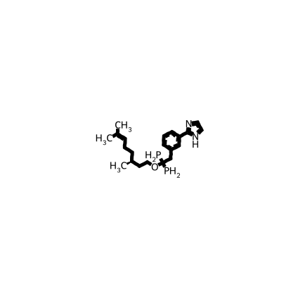 CC(C)=CCC[C@H](C)CCOC(P)(P)Cc1cccc(-c2ncc[nH]2)c1